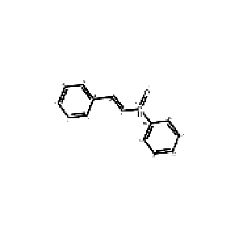 O=[PH](C=Cc1ccccc1)c1ccccc1